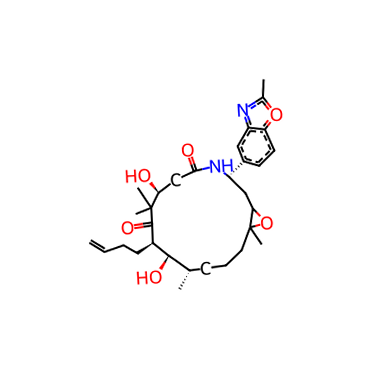 C=CCC[C@H]1C(=O)C(C)(C)[C@@H](O)CC(=O)N[C@H](c2ccc3oc(C)nc3c2)CC2OC2(C)CCC[C@H](C)[C@H]1O